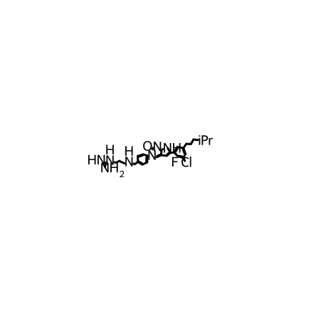 CC(C)CCCc1cc(Cl)c(F)c(-c2cc3cn(-c4ccc(CNCCCNC(=N)N)cc4)c(=O)nc3[nH]2)c1